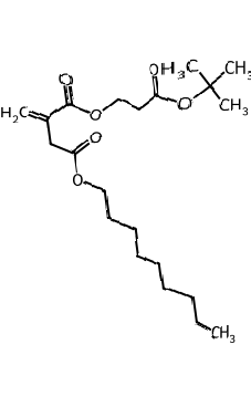 C=C(CC(=O)OCCCCCCCCC)C(=O)OCCC(=O)OC(C)(C)C